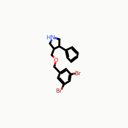 Brc1cc(Br)cc(COCC2CNCC2c2ccccc2)c1